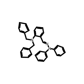 C(=N\N(c1ccccc1)c1ccccc1)/c1ccccc1N(Cc1ccccc1)Cc1ccccc1